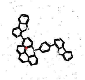 c1ccc2c(c1)ccc1cccc(N(c3ccc(-c4cccc5c4oc4ccccc45)cc3)c3ccc(-c4cccc5c4oc4ccccc45)cc3)c12